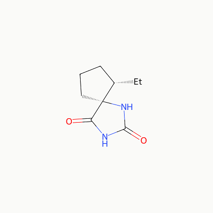 CC[C@H]1CCC[C@@]12NC(=O)NC2=O